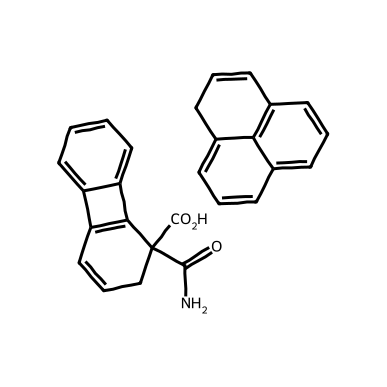 C1=Cc2cccc3cccc(c23)C1.NC(=O)C1(C(=O)O)CC=CC2=C1c1ccccc12